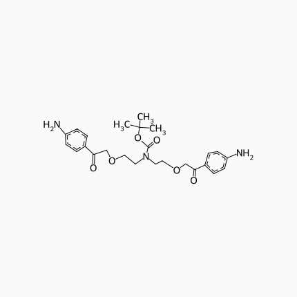 CC(C)(C)OC(=O)N(CCOCC(=O)c1ccc(N)cc1)CCOCC(=O)c1ccc(N)cc1